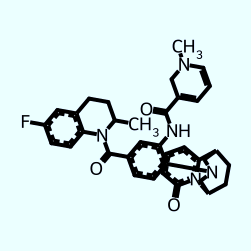 CC1CCc2cc(F)ccc2N1C(=O)c1ccc(N2CC3CCC(C2)n2c3cccc2=O)c(NC(=O)C2=CC=CN(C)C2)c1